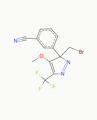 COC1=C(C(F)(F)F)N=NC1(CBr)c1cccc(C#N)c1